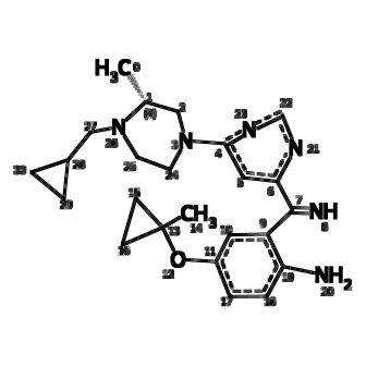 C[C@@H]1CN(c2cc(C(=N)c3cc(OC4(C)CC4)ccc3N)ncn2)CCN1CC1CC1